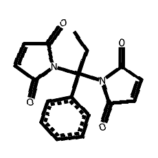 CCC(c1ccccc1)(N1C(=O)C=CC1=O)N1C(=O)C=CC1=O